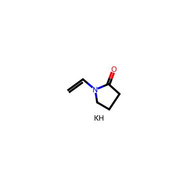 C=CN1CCCC1=O.[KH]